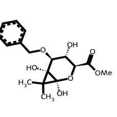 COC(=O)[C@H]1O[C@@]2(O)C(C)(C)[C@@]2(O)[C@@H](OCc2ccccc2)[C@@H]1O